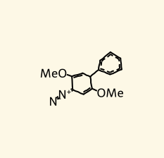 COC1=CC(c2ccccc2)C(OC)=CC1=[N+]=[N-]